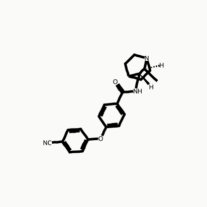 C[C@H]1[C@H](NC(=O)c2ccc(Oc3ccc(C#N)cc3)cc2)C2CCN1CC2